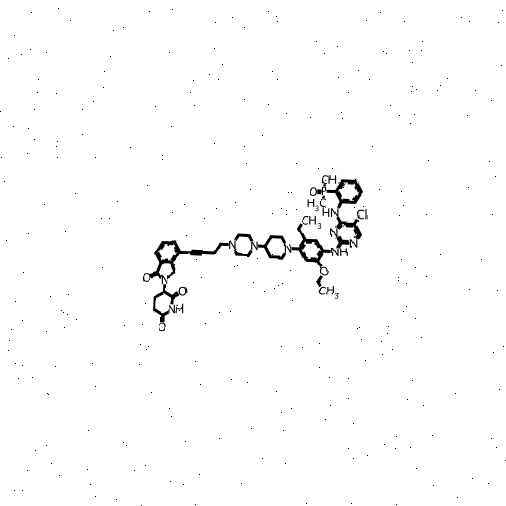 CCOc1cc(N2CCC(N3CCN(CCC#Cc4cccc5c4CN(C4CCC(=O)NC4=O)C5=O)CC3)CC2)c(CC)cc1Nc1ncc(Cl)c(Nc2ccccc2P(C)(C)=O)n1